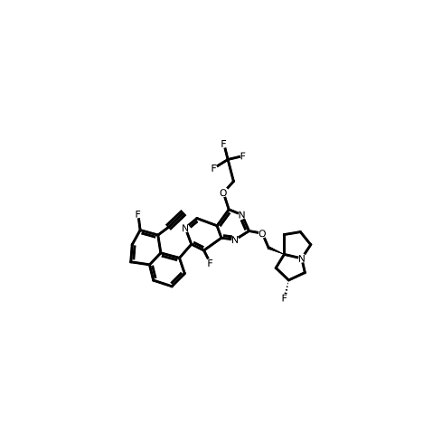 C#Cc1c(F)ccc2cccc(-c3ncc4c(OCC(F)(F)F)nc(OC[C@@]56CCCN5C[C@H](F)C6)nc4c3F)c12